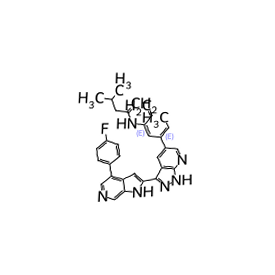 C=C/C(=C\C(=C/C)c1cnc2[nH]nc(-c3cc4c(-c5ccc(F)cc5)cncc4[nH]3)c2c1)NC(=C)CC(C)C